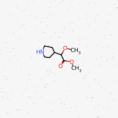 COC(=O)C(OC)C1CCNCC1